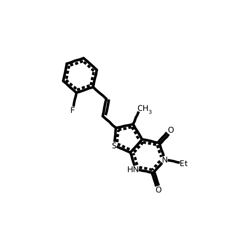 CCn1c(=O)[nH]c2sc(C=Cc3ccccc3F)c(C)c2c1=O